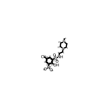 CN1CCN(CCNS(=O)(=O)c2cc(Cl)cc([N+](=O)[O-])c2O)CC1